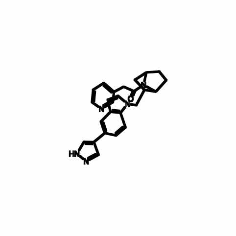 O=C(Cc1cccnc1)N1C2CCC1C(Cn1ccc3cc(-c4cn[nH]c4)ccc31)C2